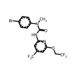 CN(C(=O)Nc1cc(C(F)(F)F)cc(OCC(F)(F)F)n1)c1ccc(Br)cc1